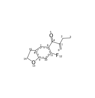 C=C(CC)C(=O)c1cc2c(cc1F)OCC2